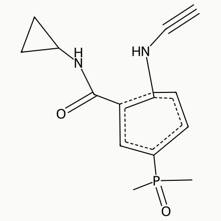 C#CNc1ccc(P(C)(C)=O)cc1C(=O)NC1CC1